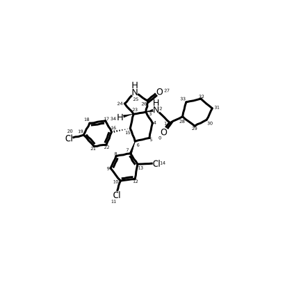 O=C(N[C@@]12CC[C@@H](c3ccc(Cl)cc3Cl)[C@H](c3ccc(Cl)cc3)[C@@H]1CNC2=O)C1CCCCC1